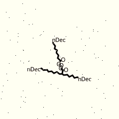 CCCCCCCCCCCCCCCCCCC(CCCCCCCCCCCCCCCC)C(=O)OOOC(=O)CCCCCCCCCCCCCCCCC